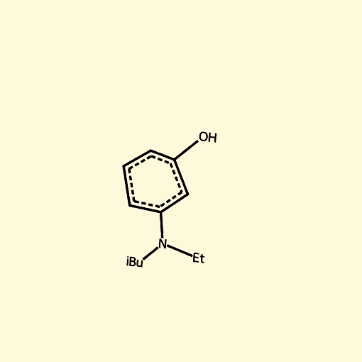 CCC(C)N(CC)c1cccc(O)c1